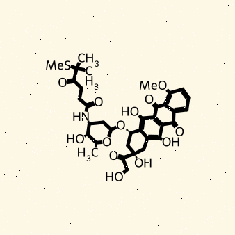 COc1cccc2c1C(=O)c1c(O)c3c(c(O)c1C2=O)C[C@@](O)(C(=O)CO)C[C@@H]3OC1C[C@H](NC(=O)CCC(=O)C(C)(C)SC)[C@H](O)[C@H](C)O1